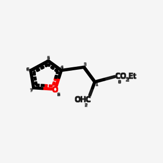 CCOC(=O)C(C=O)Cc1ccco1